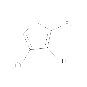 CCc1scc(C(C)C)c1O